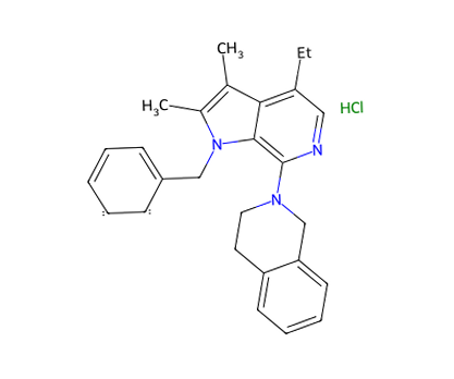 CCc1cnc(N2CCc3ccccc3C2)c2c1c(C)c(C)n2CC1=CC=C[C][C]1.Cl